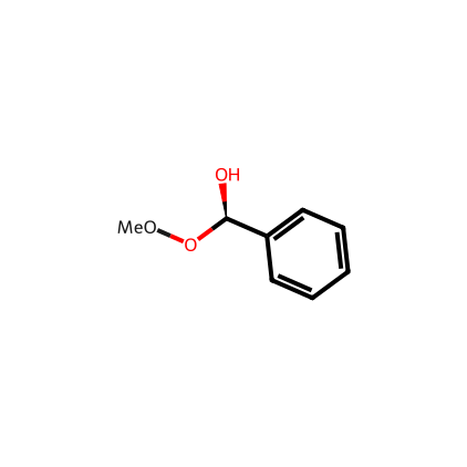 COO[C@@H](O)c1ccccc1